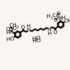 CS(=O)(=O)Nc1cc(C(=O)CNCCCCCCNCC(=O)c2ccc(O)c(NS(C)(=O)=O)c2)ccc1O.Cl.Cl